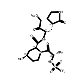 COCC(=O)[C@H](C[C@@H]1CCNC1=O)NC(=O)[C@@H]1C[C@H](C(C)(C)C)CCN1C(=O)[C@@H](NS(=O)(=O)C(F)(F)F)C(C)(C)C